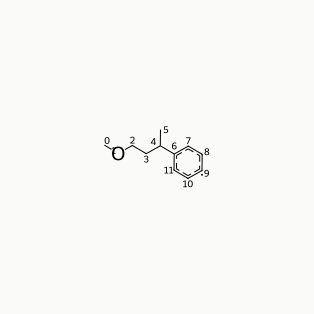 COCCC(C)c1cc[c]cc1